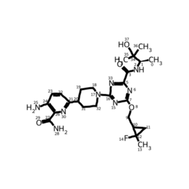 C[C@@H](NC(=O)c1nc(OCC2CC2(C)F)nc(N2CCC(c3ccc(N)c(C(N)=O)n3)CC2)n1)C(C)(C)O